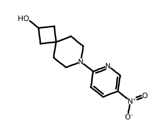 O=[N+]([O-])c1ccc(N2CCC3(CC2)CC(O)C3)nc1